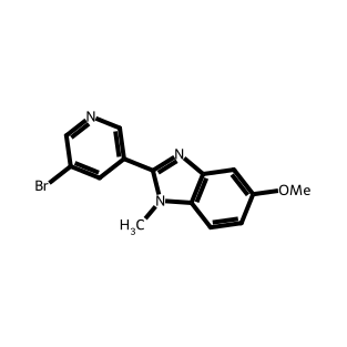 COc1ccc2c(c1)nc(-c1cncc(Br)c1)n2C